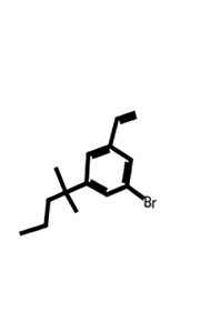 C=Cc1cc(Br)cc(C(C)(C)CCC)c1